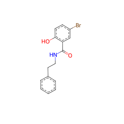 O=C(NCCc1ccccc1)c1cc(Br)ccc1O